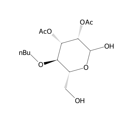 CCCCO[C@H]1[C@H](OC(C)=O)[C@H](OC(C)=O)C(O)O[C@@H]1CO